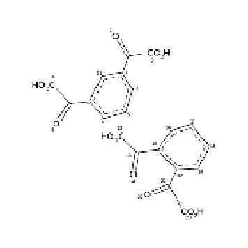 O=C(O)C(=O)c1cccc(C(=O)C(=O)O)c1.O=C(O)C(=O)c1ccccc1C(=O)C(=O)O